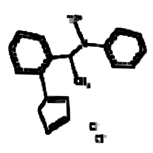 CC(c1ccccc1C1=CC=CC1)[N]([Ti+2])c1ccccc1.[Cl-].[Cl-]